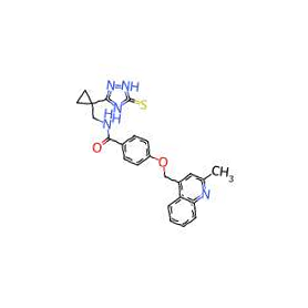 Cc1cc(COc2ccc(C(=O)NCC3(c4n[nH]c(=S)[nH]4)CC3)cc2)c2ccccc2n1